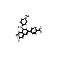 CON1CCC(Nc2cc(-c3ccc(C(F)F)nc3)cc3c2=CN[C@H](C)C=3)CC1